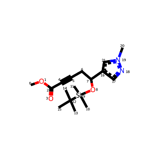 COC(=O)C#CCC(O[Si](C)(C)C(C)(C)C)c1cnn(C)c1